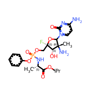 CC(C)OC(=O)[C@H](C)NP(=O)(OC[C@@]1(F)OC(n2ccc(N)nc2=O)[C@](C)(N)[C@@H]1O)Oc1ccccc1